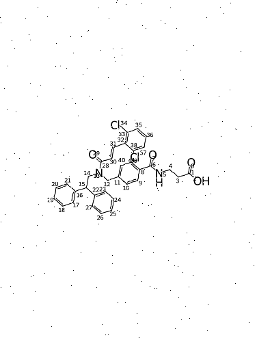 O=C(O)CCNC(=O)c1ccc(CN(CC(c2ccccc2)c2ccccc2)C(=O)/C=C/c2c(Cl)cccc2Cl)cc1